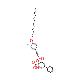 CCCCCCCCCCCCOc1ccc(C#CC(=O)OC2(C(=O)O)C=CC(c3ccccc3)C=C2)cc1F